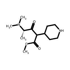 COC(=O)C(C(=O)[C@H](C)N(C)C)C1CCNCC1